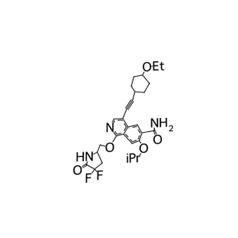 CCOC1CCC(C#Cc2cnc(OCC3CC(F)(F)C(=O)N3)c3cc(OC(C)C)c(C(N)=O)cc23)CC1